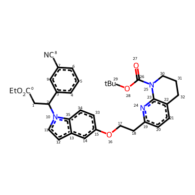 CCOC(=O)CC(c1cccc(C#N)c1)n1ccc2cc(OCCc3ccc4c(n3)N(C(=O)OC(C)(C)C)CCC4)ccc21